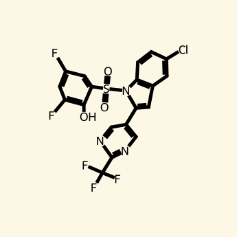 O=S(=O)(c1cc(F)cc(F)c1O)n1c(-c2cnc(C(F)(F)F)nc2)cc2cc(Cl)ccc21